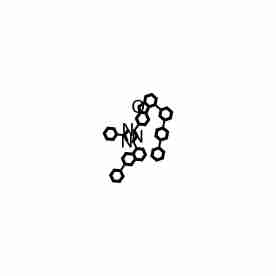 c1ccc(-c2ccc(-c3cccc(-c4cccc5oc6cc(-c7nc(-c8ccccc8)nc(-c8cccc9cc(-c%10ccccc%10)ccc89)n7)ccc6c45)c3)cc2)cc1